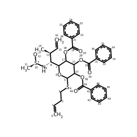 C=CCCSC1OC([C@H](N[S@@+](C)[O-])[C@@H](C)C=C)C(OC(=O)c2ccccc2)C(OC(=O)c2ccccc2)C1OC(=O)c1ccccc1